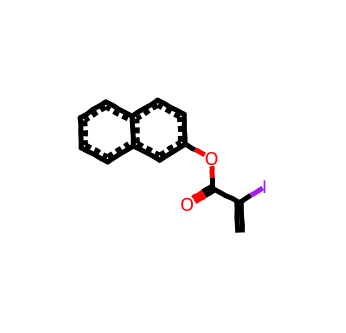 C=C(I)C(=O)Oc1ccc2ccccc2c1